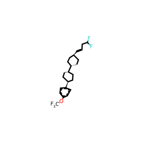 FC(F)CC=C[C@H]1CC[C@H]([C@H]2CC[C@H](c3ccc(OC(F)(F)F)cc3)CC2)CC1